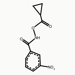 O=C(NOC(=O)C1CC1)c1cccc([N+](=O)[O-])c1